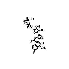 C[C@H](Nc1cc(Cl)nn2c([C@@H]3O[C@H](COP(=O)(O)CP(=O)(O)O)[C@@H](O)[C@H]3O)cnc12)c1cccc(F)c1